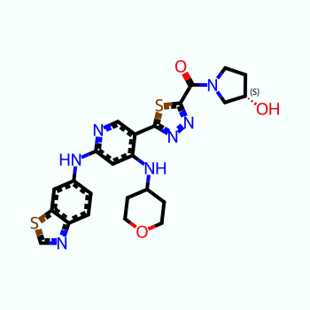 O=C(c1nnc(-c2cnc(Nc3ccc4ncsc4c3)cc2NC2CCOCC2)s1)N1CC[C@H](O)C1